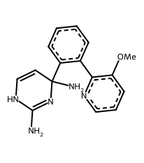 COc1cccnc1-c1ccccc1C1(N)C=CNC(N)=N1